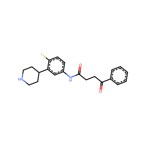 O=C(CCC(=O)c1ccccc1)Nc1ccc(F)c(C2CCNCC2)c1